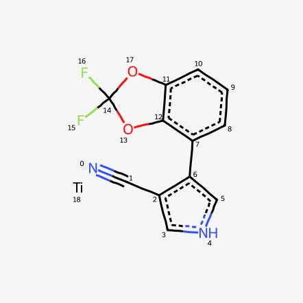 N#Cc1c[nH]cc1-c1cccc2c1OC(F)(F)O2.[Ti]